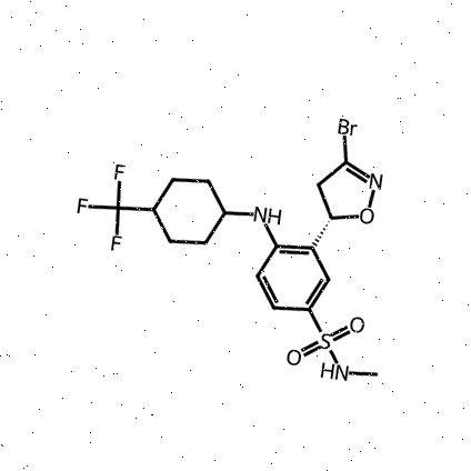 CNS(=O)(=O)c1ccc(NC2CCC(C(F)(F)F)CC2)c([C@@H]2CC(Br)=NO2)c1